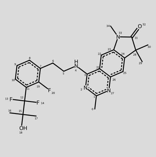 Cc1nc(NCCc2cccc(C(F)(F)C(C)(C)O)c2F)c2cc3c(cc2n1)C(C)(C)C(=O)N3C